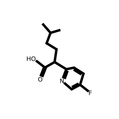 CC(C)CCC(C(=O)O)c1ccc(F)cn1